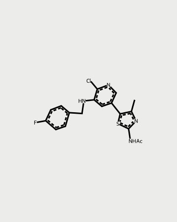 CC(=O)Nc1nc(C)c(-c2cnc(Cl)c(NCc3ccc(F)cc3)c2)s1